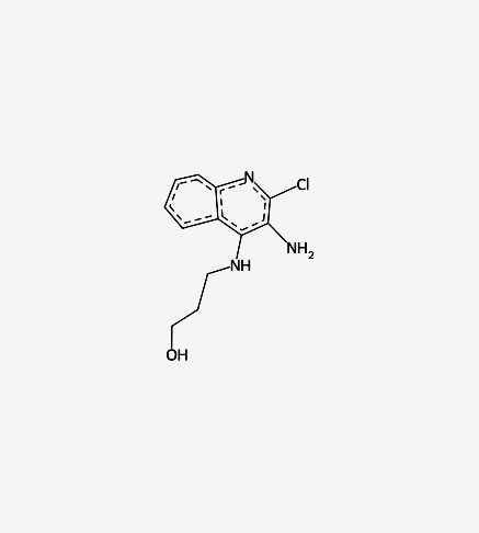 Nc1c(Cl)nc2ccccc2c1NCCCO